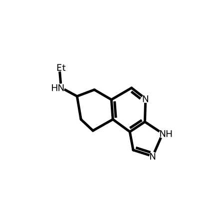 CCNC1CCc2c(cnc3[nH]ncc23)C1